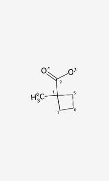 CC1(C([O])=O)CCC1